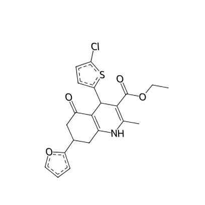 CCOC(=O)C1=C(C)NC2=C(C(=O)CC(c3ccco3)C2)C1c1ccc(Cl)s1